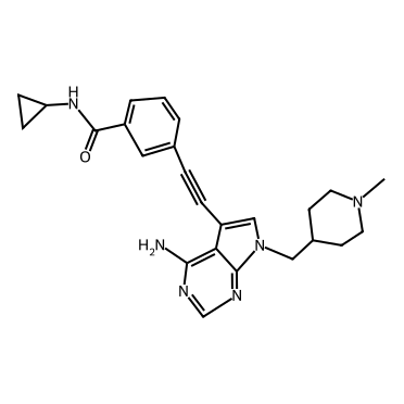 CN1CCC(Cn2cc(C#Cc3cccc(C(=O)NC4CC4)c3)c3c(N)ncnc32)CC1